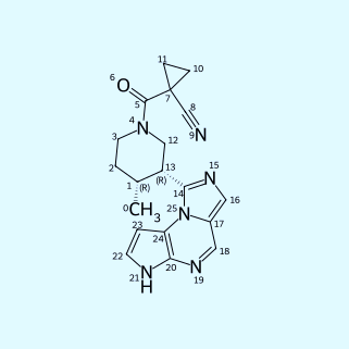 C[C@@H]1CCN(C(=O)C2(C#N)CC2)C[C@@H]1c1ncc2cnc3[nH]ccc3n12